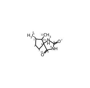 CC1CCC2(NC(=O)NC2=O)C1C